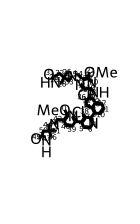 COc1nc(-c2ccnc(-c3cccc4c3CC[C@@H]4Nc3nc(OC)c(CN4CC5(CNC(=O)C5)C4)nc3C(F)(F)F)c2Cl)ccc1CN1CC2(CNC(=O)C2)C1